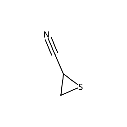 N#CC1CS1